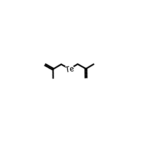 C=C(C)C[Te]CC(=C)C